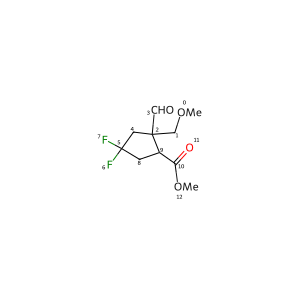 COCC1(C=O)CC(F)(F)CC1C(=O)OC